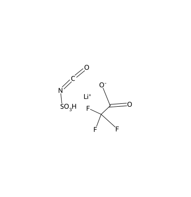 O=C([O-])C(F)(F)F.O=C=NS(=O)(=O)O.[Li+]